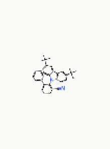 CC(C)(C)c1ccc2c(c1)c1cc(C(C)(C)C)ccc1n2-c1c(C#N)cccc1-c1ccccc1